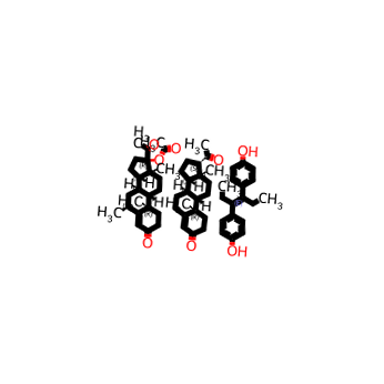 CC(=O)O[C@]1(C(C)=O)CC[C@H]2[C@@H]3C[C@H](C)C4=CC(=O)CC[C@]4(C)[C@H]3CC[C@@]21C.CC(=O)[C@H]1CC[C@H]2[C@@H]3CCC4=CC(=O)CC[C@]4(C)[C@H]3CC[C@]12C.CC/C(=C(/CC)c1ccc(O)cc1)c1ccc(O)cc1